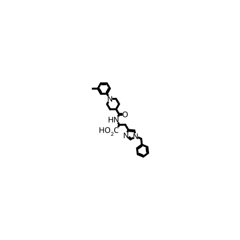 Cc1cccc(N2CCC(C(=O)NC(Cc3cn(Cc4ccccc4)cn3)C(=O)O)CC2)c1